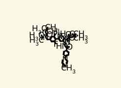 CC(C)N(Cc1cc(F)c(-c2cc3c(NC(=O)c4ccc(N5CCN(C)CC5)cc4)nn(C(=O)OC(C)(C)C)c3cn2)c(F)c1)C(=O)OC(C)(C)C